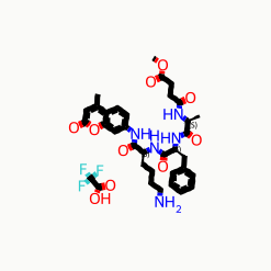 COC(=O)CCC(=O)N[C@@H](C)C(=O)N[C@@H](Cc1ccccc1)C(=O)N[C@@H](CCCCN)C(=O)Nc1ccc2c(C)cc(=O)oc2c1.O=C(O)C(F)(F)F